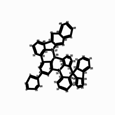 c1ccc(-c2cc3c4c(c2)N2c5ccccc5C5(c6ccccc6-c6ccccc65)c5cccc(c52)B4n2c4cc5ccccc5cc4c4cccc-3c42)cc1